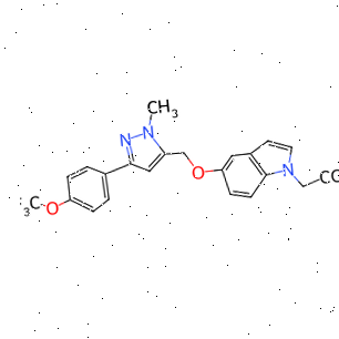 Cn1nc(-c2ccc(OC(F)(F)F)cc2)cc1COc1ccc2c(ccn2CC(=O)O)c1